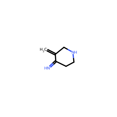 C=C1CNCCC1=N